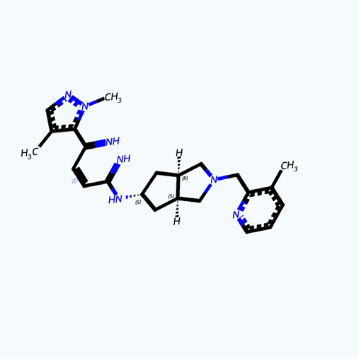 Cc1cccnc1CN1C[C@H]2C[C@H](NC(=N)/C=C\C(=N)c3c(C)cnn3C)C[C@H]2C1